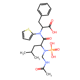 CC(=O)NCN(C(CC(C)C)C(=O)N(c1cccs1)C(Cc1ccccc1)C(=O)O)P(=O)(O)O